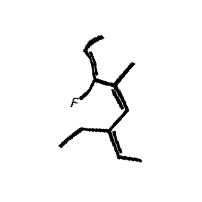 C\C=C(/C=C(C)\C(F)=C/C)CC